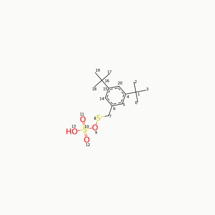 CC(C)(C)c1cc(CSOS(=O)(=O)O)cc(C(C)(C)C)c1